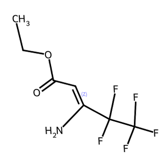 CCOC(=O)/C=C(\N)C(F)(F)C(F)(F)F